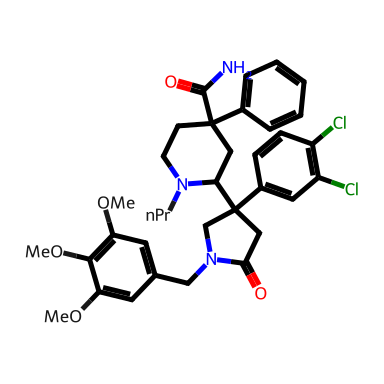 CCCN1CCC(C(N)=O)(c2ccccc2)CC1C1(c2ccc(Cl)c(Cl)c2)CC(=O)N(Cc2cc(OC)c(OC)c(OC)c2)C1